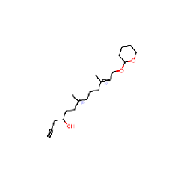 C#CCC(O)CC/C(C)=C/CC/C(C)=C/COC1CCCCO1